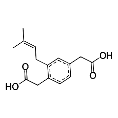 CC(C)=CCc1cc(CC(=O)O)ccc1CC(=O)O